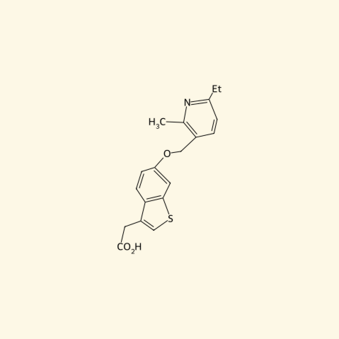 CCc1ccc(COc2ccc3c(CC(=O)O)csc3c2)c(C)n1